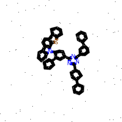 c1ccc(-c2ccc(-c3nc(-c4cccc(-c5ccccc5)c4)nc(-c4ccc(-n5c6ccccc6c6ccc7c8ccccc8sc7c65)c(-c5ccccc5)c4)n3)cc2)cc1